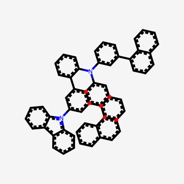 c1ccc(-c2cc(-c3ccccc3N(c3ccc(-c4cccc5ccccc45)cc3)c3cccc(-c4cccc5ccccc45)c3)cc(-n3c4ccccc4c4ccccc43)c2)cc1